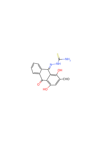 NC(=S)NN=C1c2ccccc2C(=O)c2c(O)cc(C=O)c(O)c21